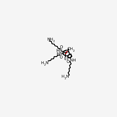 C=C1/C=C\C(NC(=O)CCCCCCCN)=C/C2(CC)c3cc(NC(=O)CCCCCCCN)ccc3C1c1ccc(NC(=O)CCCCCCCN)cc12